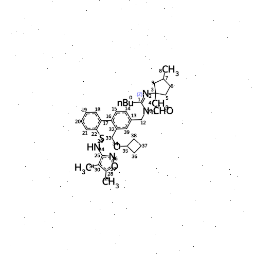 CCCC/C(=N/C1(C)CCC(C)C1)N(C=O)Cc1ccc(-c2ccccc2SNc2noc(C)c2C)c(COC2CCC2)c1